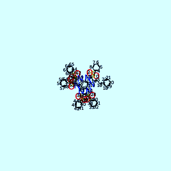 O=S(=O)(c1ccccc1)c1nc2c(nc1CCc1ccccc1)c1nc(S(=O)(=O)c3ccccc3)c(S(=O)(=O)c3ccccc3)nc1c1nc(S(=O)(=O)c3ccccc3)c(S(=O)(=O)c3ccccc3)nc21